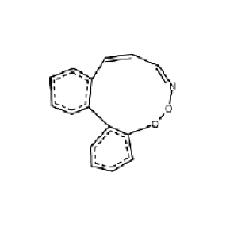 C1=Cc2ccccc2-c2ccccc2OON=C1